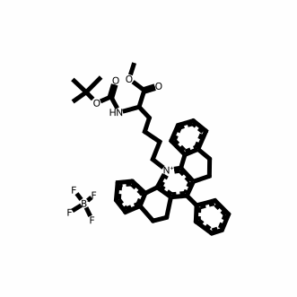 COC(=O)C(CCCC[n+]1c2c(c(-c3ccccc3)c3c1-c1ccccc1CC3)CCc1ccccc1-2)NC(=O)OC(C)(C)C.F[B-](F)(F)F